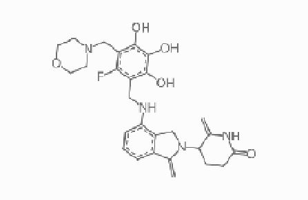 C=C1NC(=O)CCC1N1Cc2c(NCc3c(O)c(O)c(O)c(CN4CCOCC4)c3F)cccc2C1=C